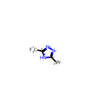 CC(C)c1nnc(C(F)(F)F)[nH]1